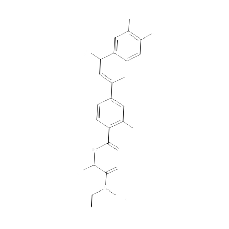 CC(NC(=O)c1ccc(/C(F)=C/C(c2ccc(Cl)c(F)c2)C(F)(F)F)cc1C(F)(F)F)C(=O)N(C)CC(F)(F)F